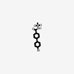 CS(=O)(=O)NC(=O)c1ccc(-c2ccc(Br)cc2)cc1